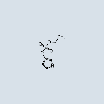 CCOS(=O)(=O)On1ccnc1